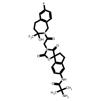 CC(C)(N)C(=O)Nc1ccc2c(c1)CCC21OC(=O)N(CC(=O)N2Cc3ccc(F)cc3CCC2(O)C(F)(F)F)C1=O